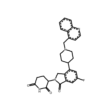 O=C1CCC(N2Cc3c(cc(F)cc3C3CCN(Cc4ccnc5ccccc45)CC3)C2=O)C(=O)N1